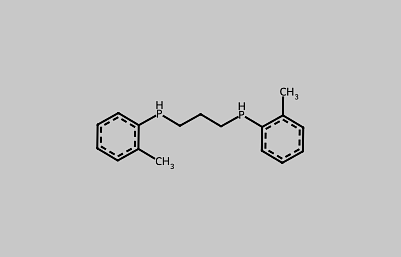 Cc1ccccc1PCCCPc1ccccc1C